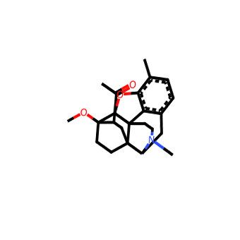 COC12CCC3(CC1C(C)=O)C1Cc4ccc(C)c5c4C3(CCN1C)C2O5